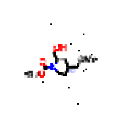 CO/C=C1/CCN(C(=O)OC(C)(C)C)C(CO)C1